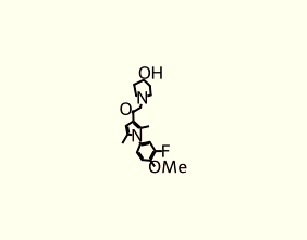 COc1ccc(-n2c(C)cc(C(=O)CN3CCC(O)CC3)c2C)cc1F